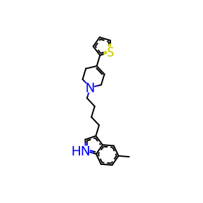 Cc1ccc2[nH]cc(CCCCN3CC=C(c4cccs4)CC3)c2c1